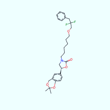 CC1(C)OCc2cc([C@H]3CN(CCCCCCOCC(F)(F)Cc4ccccc4)C(=O)O3)ccc2O1